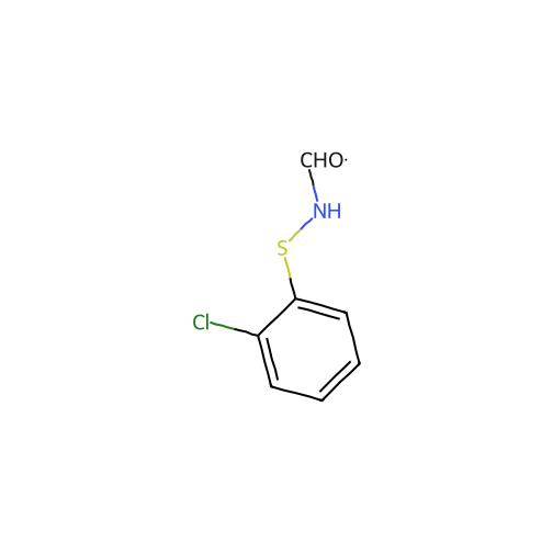 O=[C]NSc1ccccc1Cl